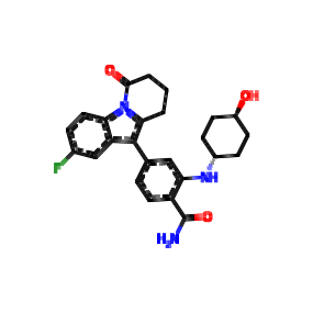 NC(=O)c1ccc(-c2c3n(c4ccc(F)cc24)C(=O)CCC3)cc1N[C@H]1CC[C@H](O)CC1